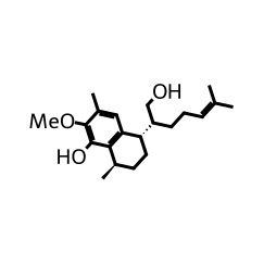 COc1c(C)cc2c(c1O)[C@H](C)CC[C@H]2C(CO)CCC=C(C)C